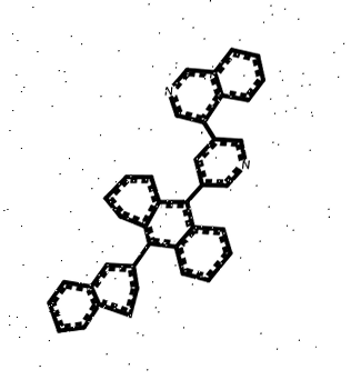 c1ccc2cc(-c3c4ccccc4c(-c4cncc(-c5cncc6ccccc56)c4)c4ccccc34)ccc2c1